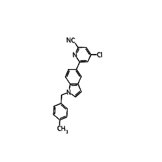 Cc1ccc(Cn2ccc3cc(-c4cc(Cl)cc(C#N)n4)ccc32)cc1